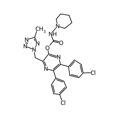 Cc1nnn(Cc2nc(-c3ccc(Cl)cc3)c(-c3ccc(Cl)cc3)nc2OC(=O)NN2CCCCC2)n1